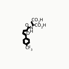 O=C(O)C[C@H](NC(=O)c1ccc(-c2ccc(C(F)(F)F)cc2)o1)C(=O)O